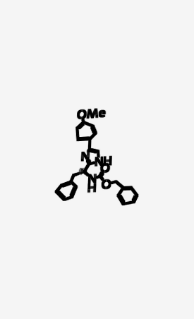 COc1ccc(-c2c[nH]c([C@H](Cc3ccccc3)NC(=O)OCc3ccccc3)n2)cc1